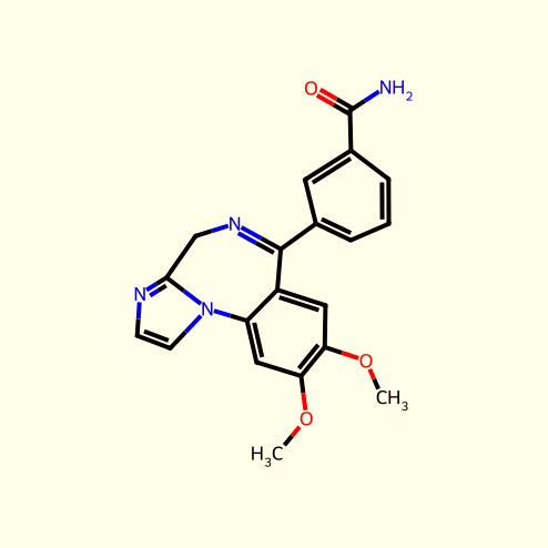 COc1cc2c(cc1OC)-n1ccnc1CN=C2c1cccc(C(N)=O)c1